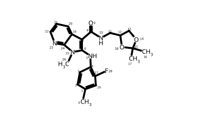 Cc1ccc(Nc2c(C(=O)NCC3COC(C)(C)O3)c3cccnc3n2C)c(F)c1